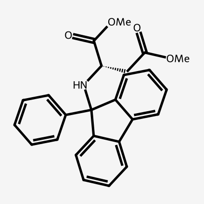 COC(=O)C[C@H](NC1(c2ccccc2)c2ccccc2-c2ccccc21)C(=O)OC